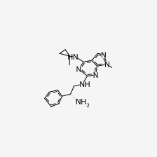 Cn1ncc2c(NC3(C)CC3)nc(NC[C@H](N)c3ccccc3)nc21